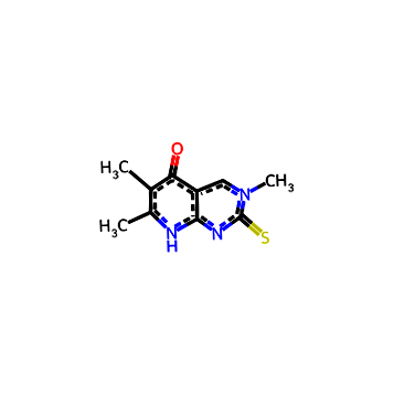 Cc1[nH]c2nc(=S)n(C)cc2c(=O)c1C